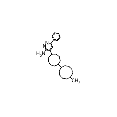 CC1CCCCC(C2CCCCC(c3cc(-c4ccccc4)nnc3N)CCC2)CCCC1